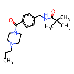 CCCN1CCN(C(=O)c2ccc(CNC(=O)C(C)(C)C)cc2)CC1